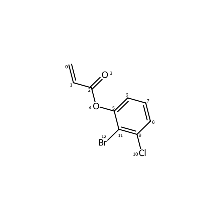 C=CC(=O)Oc1cccc(Cl)c1Br